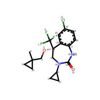 CC1(CO[C@@]2(C(F)(F)F)CN(C3CC3)C(=O)Nc3ccc(Cl)cc32)CC1